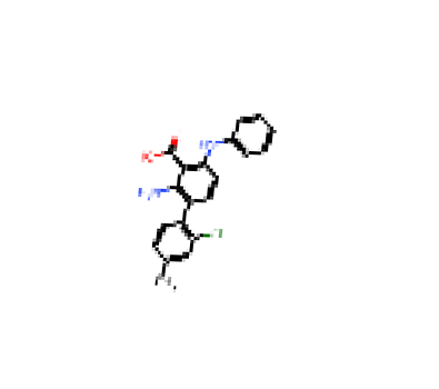 Cc1ccc(-c2ccc(Nc3ccccc3)c(C(=O)O)c2N)c(Cl)c1